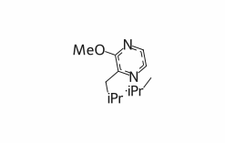 COc1nccnc1CC(C)C.C[C](C)C